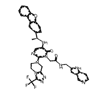 C[C@H](Nc1cnc(N2CCn3c(nnc3C(F)(F)F)C2)n(CC(=O)NCc2cc3cnccc3[nH]2)c1=O)c1ccc2oc3ccccc3c2c1